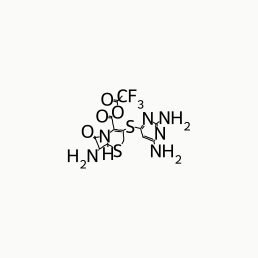 Nc1cc(SC2=C(C(=O)OC(=O)C(F)(F)F)N3C(=O)[C@@H](N)[C@H]3SC2)nc(N)n1